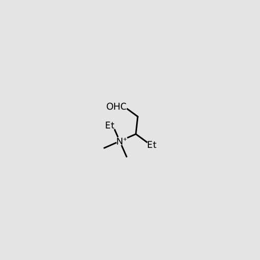 CCC(CC=O)[N+](C)(C)CC